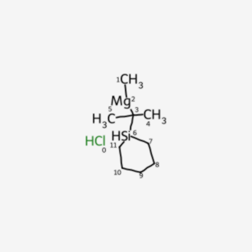 Cl.[CH3][Mg][C](C)(C)[SiH]1CCCCC1